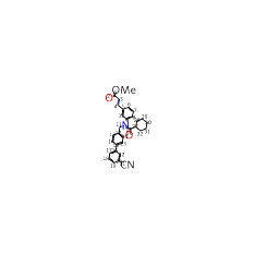 COC(=O)/C=C/c1cccc(N(Cc2ccc(-c3cccc(C#N)c3)cc2)C(=O)C2CCCCC2)c1